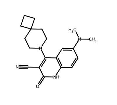 CN(C)c1ccc2[nH]c(=O)c(C#N)c(N3CCC4(CCC4)CC3)c2c1